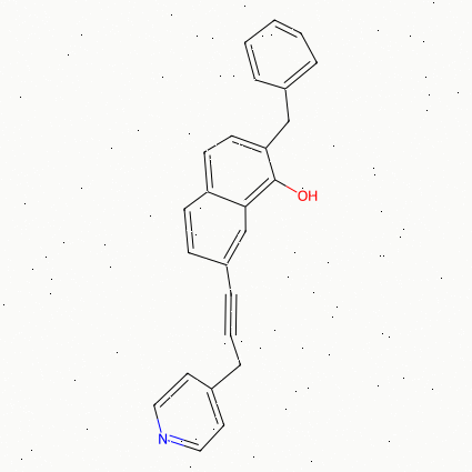 Oc1c(Cc2ccccc2)ccc2ccc(C#CCc3ccncc3)cc12